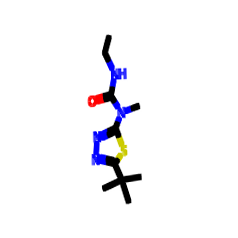 CCNC(=O)N(C)c1nnc(C(C)(C)C)s1